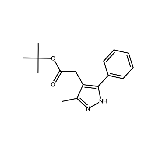 Cc1n[nH]c(-c2ccccc2)c1CC(=O)OC(C)(C)C